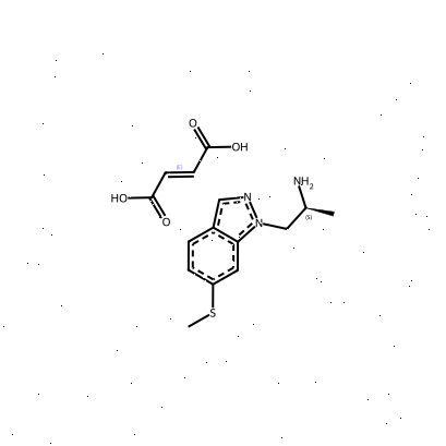 CSc1ccc2cnn(C[C@H](C)N)c2c1.O=C(O)/C=C/C(=O)O